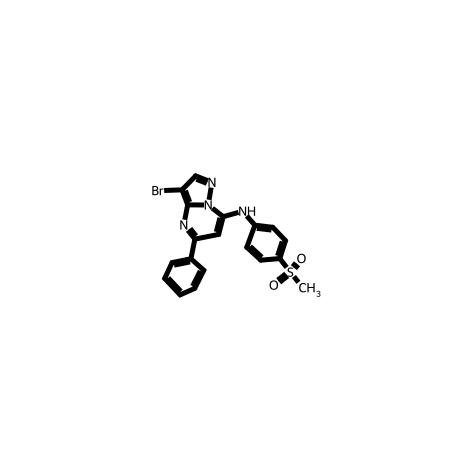 CS(=O)(=O)c1ccc(Nc2cc(-c3ccccc3)nc3c(Br)cnn23)cc1